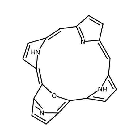 C1=CC2=NC1=Cc1ccc([nH]1)C1=C3C=CC(=N3)C(=c3ccc([nH]3)=C2)O1